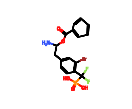 NC(Cc1ccc(C(F)(F)P(=O)(O)O)c(Br)c1)OC(=O)c1ccccc1